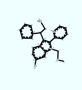 COCn1c(-c2ccccn2)c(C(CO)c2ccccc2)c2ccc(Cl)cc21